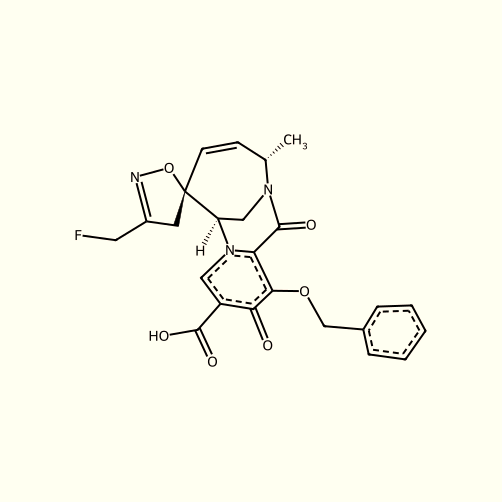 C[C@H]1C=C[C@]2(CC(CF)=NO2)[C@H]2CN1C(=O)c1c(OCc3ccccc3)c(=O)c(C(=O)O)cn12